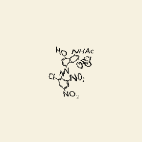 CC(=O)Nc1cc(S(=O)(=O)Cl)cc2c(/N=N/c3c(Cl)cc([N+](=O)[O-])cc3[N+](=O)[O-])ccc(O)c12